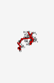 CCN(CCCC(C)Nc1ccnc2cc(Cl)ccc12)CCOC(=O)OCc1ccc(COC(=O)NC(=N)NCCCC[C@H](NC(=O)[C@H](CCCCN)NC(=O)[C@@H](N)CCC(N)=O)C(=O)N[C@@H](C)C(=O)N[C@@H](C)C(=O)N[C@@H](Cc2ccc(O)cc2)C(=O)NC)cc1